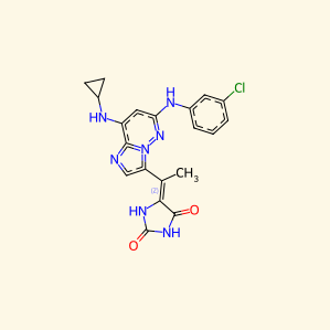 C/C(=C1/NC(=O)NC1=O)c1cnc2c(NC3CC3)cc(Nc3cccc(Cl)c3)nn12